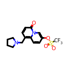 O=c1ccc(CN2CCCC2)c2ccc(OS(=O)(=O)C(F)(F)F)cn12